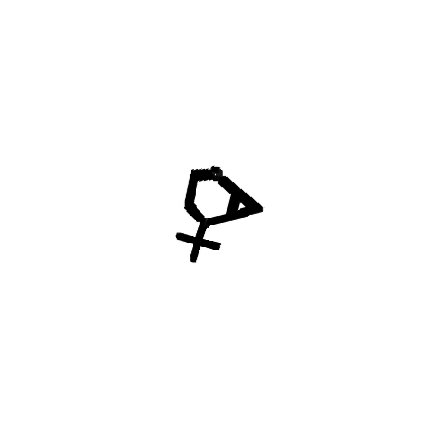 CC(C)(C)N1CCOC2CC21